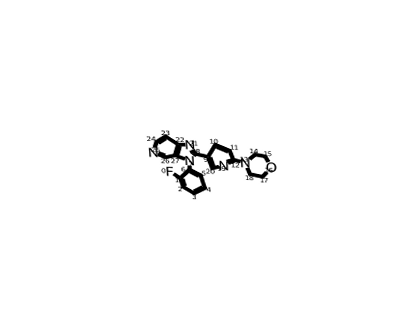 Fc1ccccc1-n1c(-c2ccc(N3CCOCC3)nc2)nc2ccncc21